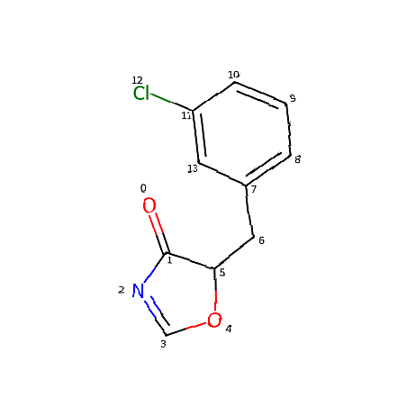 O=C1N=COC1Cc1cccc(Cl)c1